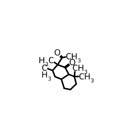 CC(=O)C1(C)C(=O)C2C(CCCC2(C)C)CC1C